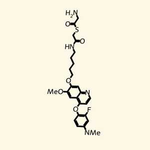 CNc1ccc(Oc2ccnc3cc(OCCCCCNC(=O)CSC(=O)CN)c(OC)cc23)c(F)c1